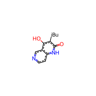 CCC(C)c1c(O)c2cnccc2[nH]c1=O